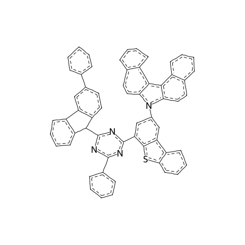 c1ccc(-c2ccc3c(c2)-c2ccccc2C3c2nc(-c3ccccc3)nc(-c3cc(-n4c5ccc6ccccc6c5c5c6ccccc6ccc54)cc4c3sc3ccccc34)n2)cc1